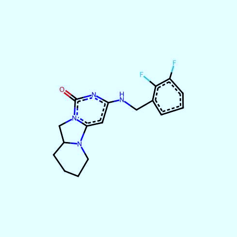 O=c1nc(NCc2cccc(F)c2F)cc2n1CC1CCCCN21